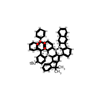 CC(C)(C)c1ccc(N2c3cc(N(c4ccccc4)c4ccccc4)ccc3B3c4c(cc5c(c42)-c2ccccc2C5(C)C)-c2cccc4c5cc6ccccc6cc5n3c24)c(-c2ccccc2)c1